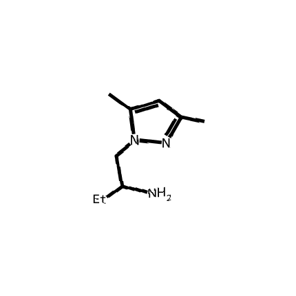 CCC(N)Cn1nc(C)cc1C